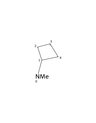 CNC1C[CH]C1